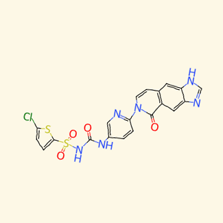 O=C(Nc1ccc(-n2ccc3cc4[nH]cnc4cc3c2=O)nc1)NS(=O)(=O)c1ccc(Cl)s1